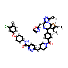 Cc1sc2c(c1C)C(c1ccc(C(=O)N3CCC(Cc4ccc(C(=O)N[C@H]5CC[C@H](Oc6ccc(C#N)c(Cl)c6)CC5)nn4)CC3)cc1)=N[C@@H](Cc1ncco1)c1nnc(C)n1-2